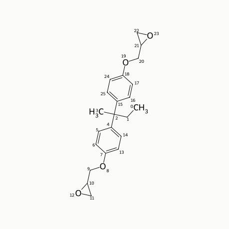 CCC(C)(c1ccc(OCC2CO2)cc1)c1ccc(OCC2CO2)cc1